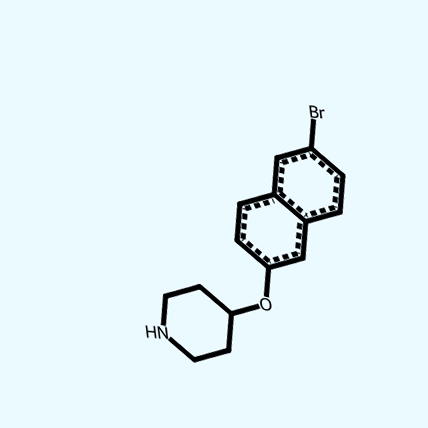 Brc1ccc2cc(OC3CCNCC3)ccc2c1